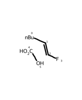 CCCCC=CF.O=C(O)O